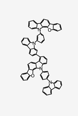 c1cc(-n2c3ccccc3c3ccc(-c4cccc5c4c4ccc6c7ccccc7oc6c4n5-c4ccc(-n5c6ccccc6c6ccccc65)cc4)cc32)cc(-n2c3ccccc3c3ccc4c5ccccc5oc4c32)c1